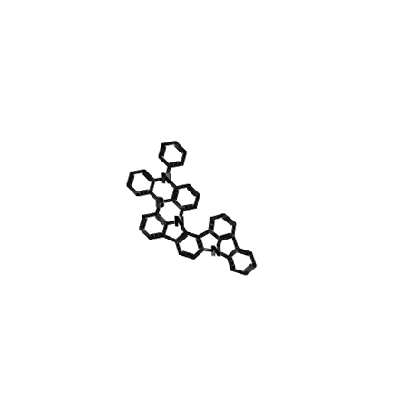 c1ccc(N2c3ccccc3B3c4c2cccc4-n2c4c3cccc4c3ccc4c(c5cccc6c7ccccc7n4c65)c32)cc1